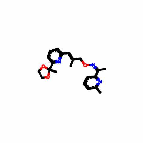 C/C(=N/OC/C(C)=C/c1cccc(C2(C)OCCO2)n1)c1cccc(C)n1